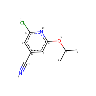 CC(C)Oc1cc(C#N)cc(Cl)n1